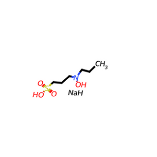 CCCN(O)CCCS(=O)(=O)O.[NaH]